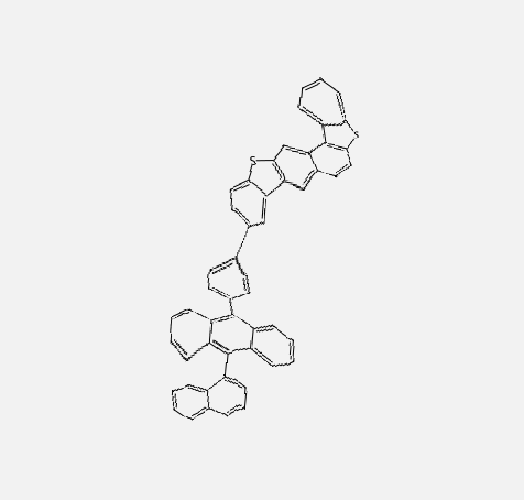 c1ccc2c(-c3c4ccccc4c(-c4ccc(-c5ccc6sc7cc8c(ccc9sc%10ccccc%10c98)cc7c6c5)cc4)c4ccccc34)cccc2c1